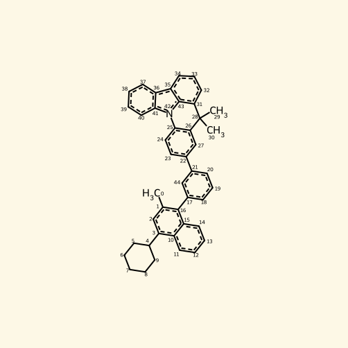 Cc1cc(C2CCCCC2)c2ccccc2c1-c1cccc(-c2ccc3c(c2)C(C)(C)c2cccc4c5ccccc5n-3c24)c1